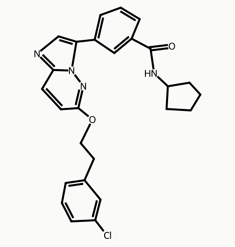 O=C(NC1CCCC1)c1cccc(-c2cnc3ccc(OCCc4cccc(Cl)c4)nn23)c1